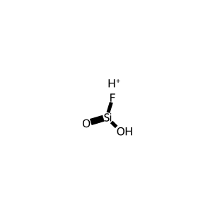 O=[Si](O)F.[H+]